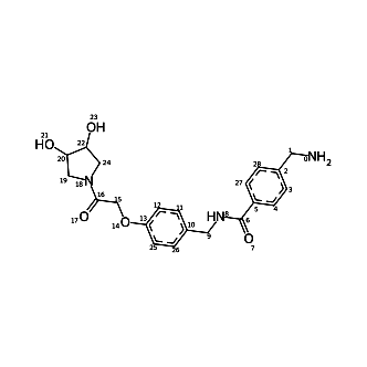 NCc1ccc(C(=O)NCc2ccc(OCC(=O)N3CC(O)C(O)C3)cc2)cc1